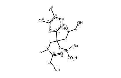 CN(CC(CC(O)CO)(CN(C(=O)O)C(C)(C)C)c1ccc(Cl)c(Cl)c1)C(=O)CC(F)(F)F